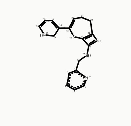 B(Cc1ccccn1)C1=NC2=C1SC(C1=CC=CNC1)=CCC2